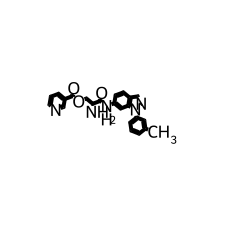 Cc1cccc(-n2ncc3ccc(NC(=O)[C@@H](N)COC(=O)c4cccnc4)cc32)c1